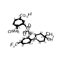 COc1ccc(C(=O)O)cc1S(=O)(=O)Nc1cc(C(F)(F)F)ccc1N1CCC(C)(O)CC1